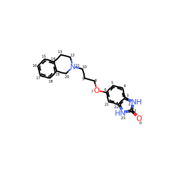 O=c1[nH]c2ccc(OCCCN3CCc4ccccc4C3)cc2[nH]1